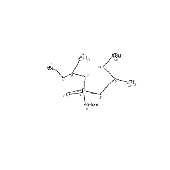 CCCCCCP(=O)(CC(C)CC(C)(C)C)CC(C)CC(C)(C)C